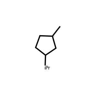 C[C]1CCC(C(C)C)C1